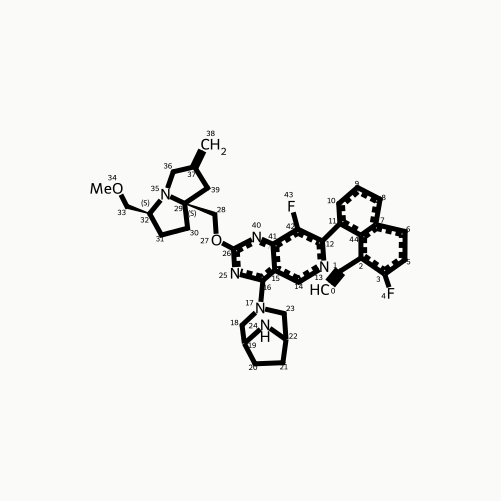 C#Cc1c(F)ccc2cccc(-c3ncc4c(N5CC6CCC(C5)N6)nc(OC[C@@]56CC[C@@H](COC)N5CC(=C)C6)nc4c3F)c12